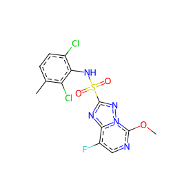 COc1ncc(F)c2nc(S(=O)(=O)Nc3c(Cl)ccc(C)c3Cl)nn12